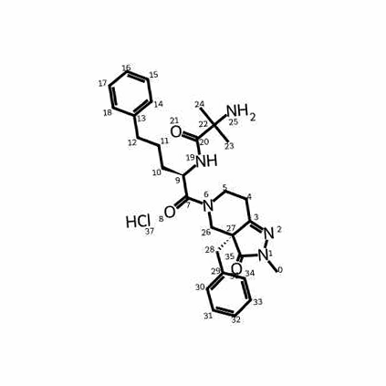 CN1N=C2CCN(C(=O)[C@@H](CCCc3ccccc3)NC(=O)C(C)(C)N)C[C@]2(Cc2ccccc2)C1=O.Cl